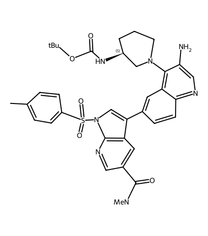 CNC(=O)c1cnc2c(c1)c(-c1ccc3ncc(N)c(N4CCC[C@H](NC(=O)OC(C)(C)C)C4)c3c1)cn2S(=O)(=O)c1ccc(C)cc1